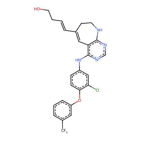 OCCC=CC1=Cc2c(ncnc2Nc2ccc(Oc3cccc(C(F)(F)F)c3)c(Cl)c2)NCC1